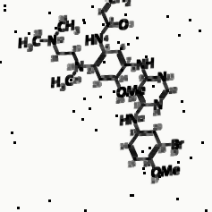 C=CC(=O)Nc1cc(Nc2cc(Nc3ccc(OC)c(Br)c3)ncn2)c(OC)cc1N(C)CCN(C)C